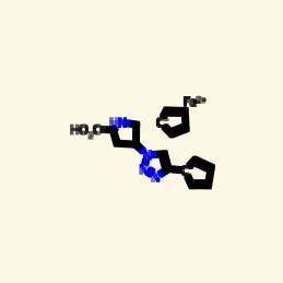 O=C(O)C1CC(n2cc(-[c-]3cccc3)nn2)CN1.[Fe+2].c1cc[cH-]c1